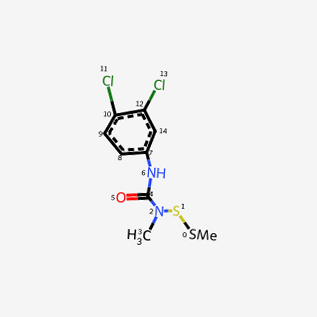 CSSN(C)C(=O)Nc1ccc(Cl)c(Cl)c1